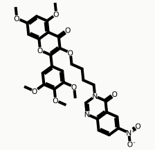 COc1cc(OC)c2c(=O)c(OCCCCn3cnc4ccc([N+](=O)[O-])cc4c3=O)c(-c3cc(OC)c(OC)c(OC)c3)oc2c1